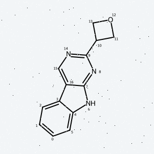 c1ccc2c(c1)[nH]c1nc(C3COC3)ncc12